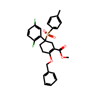 COC(=O)C1=C(OCc2ccccc2)CCC(c2cc(F)ccc2F)(S(=O)(=O)c2ccc(C)cc2)C1